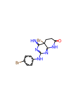 N=C1N=C(Nc2ccc(Br)cc2)N=C2NC(=O)CCC12Br